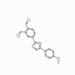 COc1ccc(-c2csc(-c3ccc(C=O)c(C=O)c3)n2)cc1